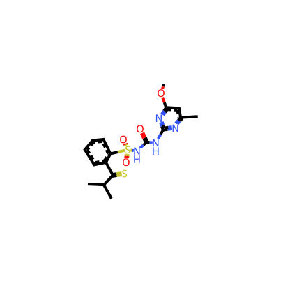 COc1cc(C)nc(NC(=O)NS(=O)(=O)c2ccccc2C(=S)C(C)C)n1